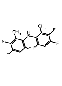 Cc1c(F)c(F)cc(F)c1Bc1c(F)cc(F)c(F)c1C